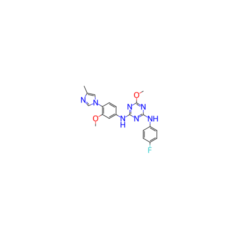 COc1nc(Nc2ccc(F)cc2)nc(Nc2ccc(-n3cnc(C)c3)c(OC)c2)n1